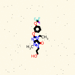 CCn1c(Oc2cccc(OC(F)(F)I)c2)nc2c1c(=O)n(CCCO)n2C